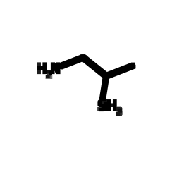 CC([SiH3])CN